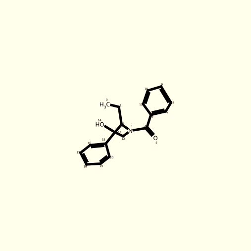 CCC1N(C(=O)c2ccccc2)CC1(O)c1ccccc1